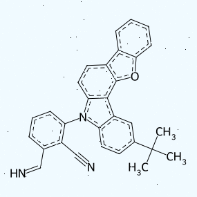 CC(C)(C)c1ccc2c(c1)c1c3oc4ccccc4c3ccc1n2-c1cccc(C=N)c1C#N